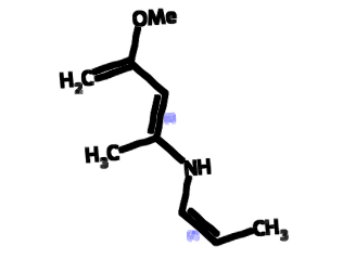 C=C(/C=C(\C)N/C=C\C)OC